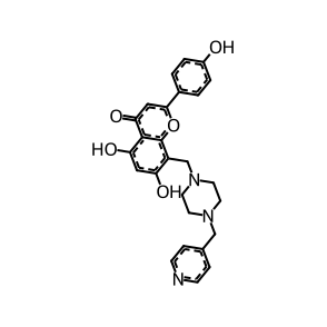 O=c1cc(-c2ccc(O)cc2)oc2c(CN3CCN(Cc4ccncc4)CC3)c(O)cc(O)c12